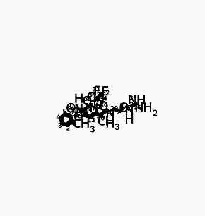 Cc1ccccc1S(=O)(=O)Nc1ccc(C(C)C(=O)NCCONC(=N)N)n(OC(=O)C(F)(F)F)c1=O